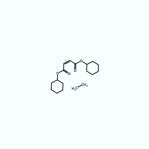 CC.O=C(/C=C\C(=O)OC1CCCCC1)OC1CCCCC1